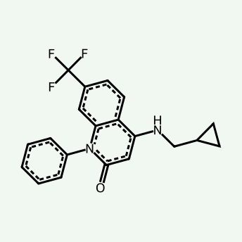 O=c1cc(NCC2CC2)c2ccc(C(F)(F)F)cc2n1-c1ccccc1